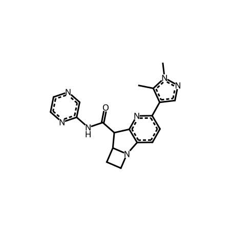 Cc1c(-c2ccc3c(n2)C(C(=O)Nc2cnccn2)C2CCN32)cnn1C